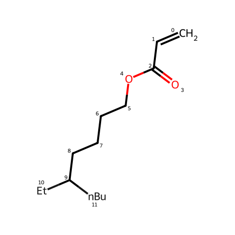 C=CC(=O)OCCCCC(CC)CCCC